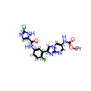 CC(C)OC(=O)Nc1cnc2nc(-c3cc(NC(=O)c4cnc(Cl)[nH]4)ccc3F)cn2c1